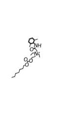 CCCCCCCOC(=O)OCC[N+](CC)(CC)CC(=O)Nc1c(C)cccc1C